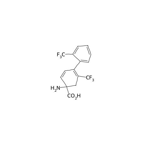 NC1(C(=O)O)C=CC(c2ccccc2C(F)(F)F)=C(C(F)(F)F)C1